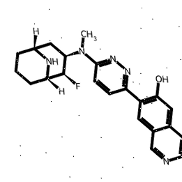 CN(c1ccc(-c2cc3cnccc3cc2O)nn1)[C@@H]1C[C@H]2CCC[C@H](N2)[C@@H]1F